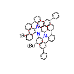 CC(C)(C)c1ccc2c(c1)N1c3cc(C(C)(C)C)ccc3N(c3c(-c4cccc(-c5ccccc5)c4)cccc3-c3cccc(-c4ccccc4)c3)c3cccc(c31)N2c1c(-c2cccc(-c3ccccc3)c2)cccc1-c1cccc(-c2ccccc2)c1